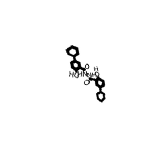 O=C(NNC(=O)c1cc(C2CCCCC2)ccc1O)c1cc(C2CCCCC2)ccc1O